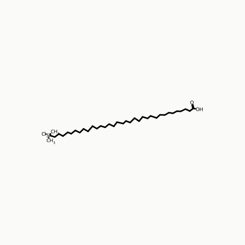 C[Si](C)(Cl)CCCCCCCCCCCCCCCCCCCCCCCCCCCCCCCCCC(=O)O